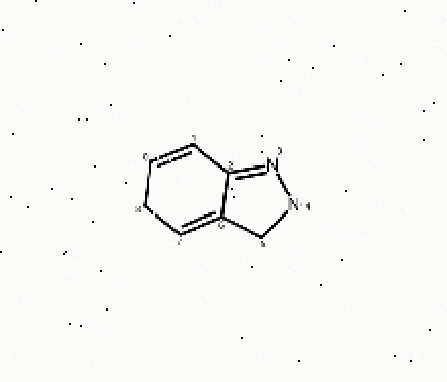 C1=CC2=N[N]CC2=CC1